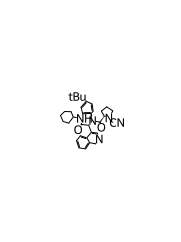 CC(C)(C)c1ccc(N(C(=O)[C@H]2CCCN2C#N)C(C(=O)NC2CCCCC2)c2cncc3ccccc23)cc1